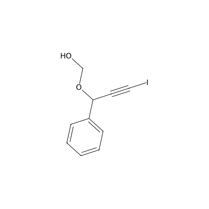 OCOC(C#CI)c1ccccc1